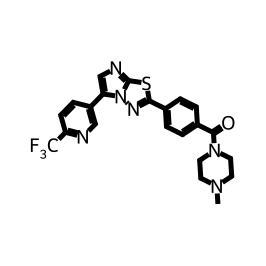 CN1CCN(C(=O)c2ccc(-c3nn4c(-c5ccc(C(F)(F)F)nc5)cnc4s3)cc2)CC1